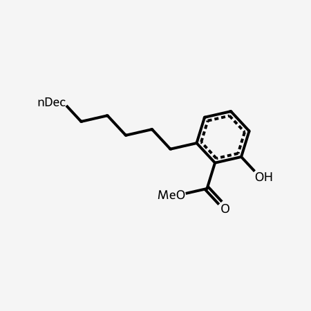 CCCCCCCCCCCCCCCc1cccc(O)c1C(=O)OC